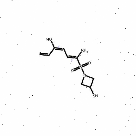 C=C/C(O)=C\C=C(/N)S(=O)(=O)N1CC(S)C1